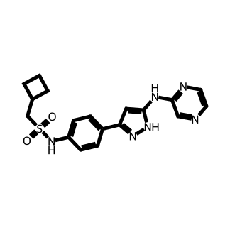 O=S(=O)(CC1CCC1)Nc1ccc(-c2cc(Nc3cnccn3)[nH]n2)cc1